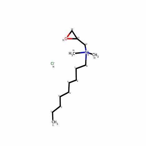 CCCCCCCCC[N+](C)(C)CC1CO1.[Cl-]